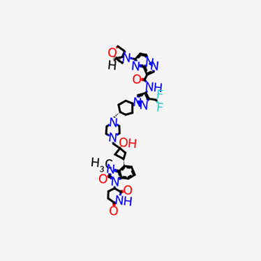 Cn1c(=O)n(C2CCC(=O)NC2=O)c2cccc([C@H]3C[C@](O)(CN4CCN(C[C@H]5CC[C@H](n6cc(NC(=O)c7cnn8ccc(N9C[C@H]%10CC9CO%10)nc78)c(C(F)F)n6)CC5)CC4)C3)c21